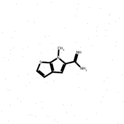 Cn1c(C(=N)N)cc2ccsc21